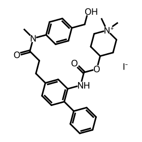 CN(C(=O)CCc1ccc(-c2ccccc2)c(NC(=O)OC2CC[N+](C)(C)CC2)c1)c1ccc(CO)cc1.[I-]